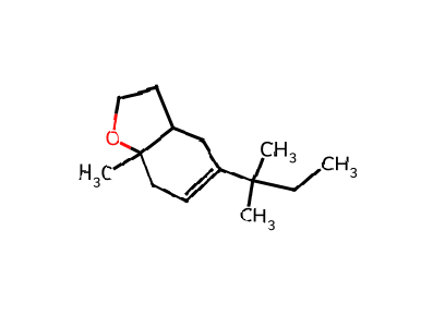 CCC(C)(C)C1=CCC2(C)OCCC2C1